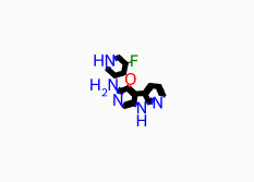 Nc1ncc2[nH]c3ncccc3c2c1O[C@H]1CCNC[C@@H]1F